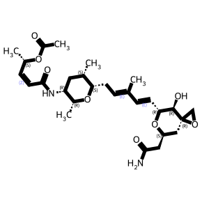 CC(=O)O[C@@H](C)/C=C\C(=O)N[C@@H]1C[C@H](C)[C@H](C/C=C(C)/C=C/[C@H]2O[C@H](CC(N)=O)C[C@@]3(CO3)[C@@H]2O)O[C@@H]1C